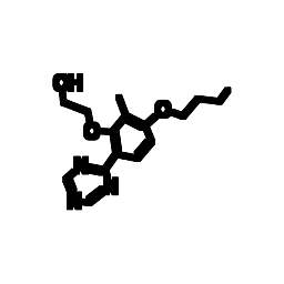 CCCCOc1ccc(-c2ncncn2)c(OCCO)c1C